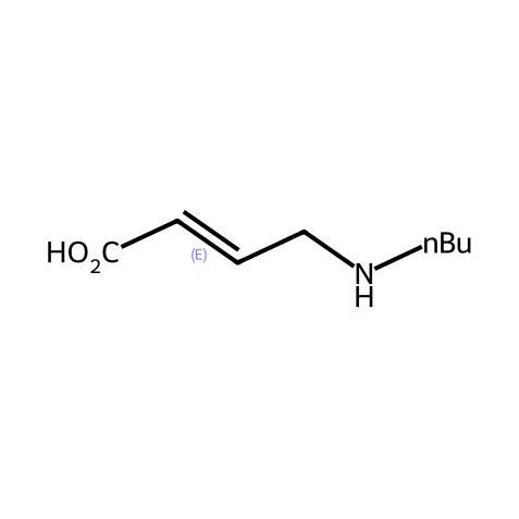 CCCCNC/C=C/C(=O)O